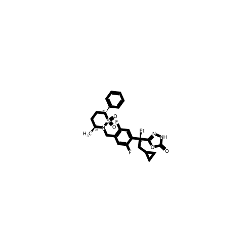 CC[C@](CC1CC1)(c1n[nH]c(=O)o1)c1cc(F)c(CN2[C@@H](C)CC[C@H](c3ccccc3)S2(=O)=O)cc1F